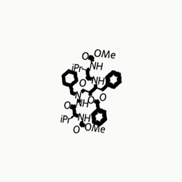 COC(=O)N[C@H](C(=O)N[C@@H](Cc1ccccc1)[C@H](CN(CC1CCCCC1)NC(=O)[C@@H](NC(=O)OC)C(C)C)OC(=O)c1ccccc1)C(C)C